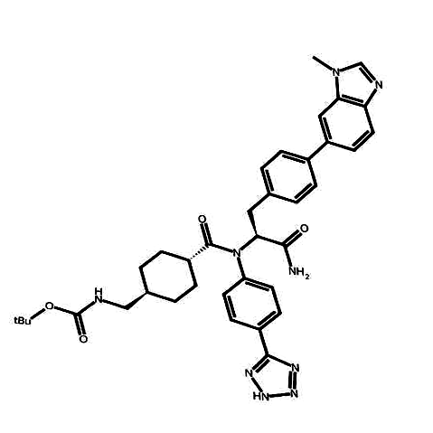 Cn1cnc2ccc(-c3ccc(C[C@@H](C(N)=O)N(c4ccc(-c5nn[nH]n5)cc4)C(=O)[C@H]4CC[C@H](CNC(=O)OC(C)(C)C)CC4)cc3)cc21